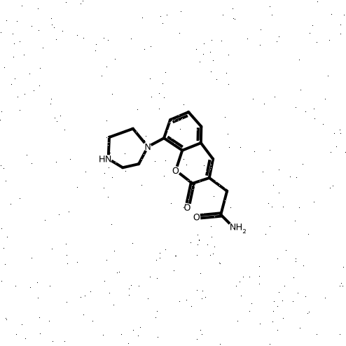 NC(=O)Cc1cc2cccc(N3CCNCC3)c2oc1=O